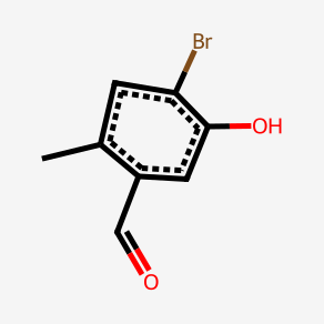 Cc1cc(Br)c(O)cc1C=O